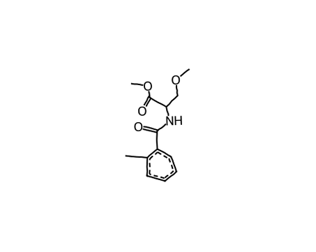 COCC(NC(=O)c1ccccc1C)C(=O)OC